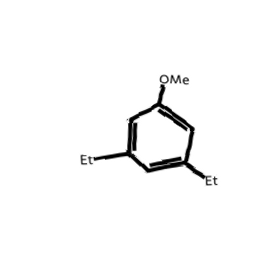 CCc1[c]c(OC)cc(CC)c1